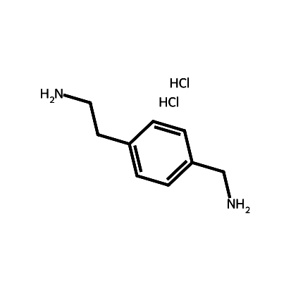 Cl.Cl.NCCc1ccc(CN)cc1